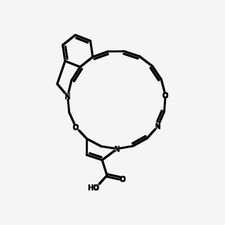 O=C(O)C1=CC2CN1/C=C\N=C/O\C=C/C=C\C=c1\cccc3c1=CN(CO2)C3